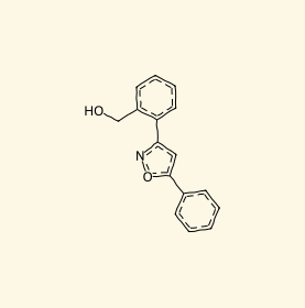 OCc1ccccc1-c1cc(-c2ccccc2)on1